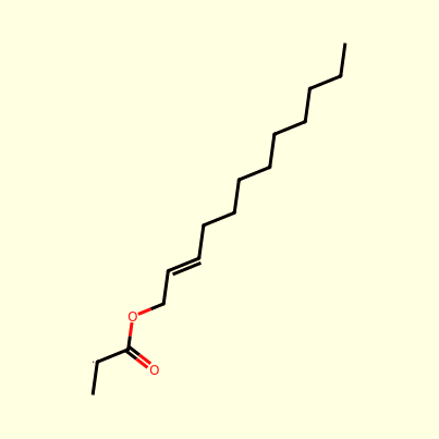 C[CH]C(=O)OC/C=C/CCCCCCCCC